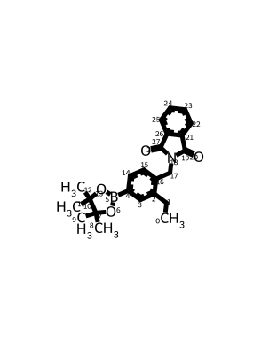 CCc1cc(B2OC(C)(C)C(C)(C)O2)ccc1CN1C(=O)c2ccccc2C1=O